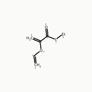 C=COC(=C)C(=O)SCC